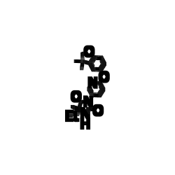 CC[C@@]1(C)NC(=O)N(c2ccc(Oc3ccc4c(c3)C(C)(C)CO4)nc2)C1=O